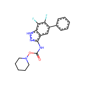 O=C(Nc1n[nH]c2c(F)c(F)c(-c3ccccc3)cc12)ON1CCCCC1